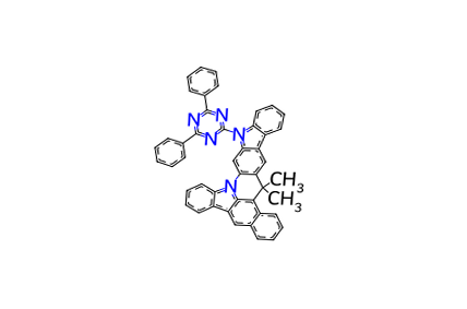 CC1(C)c2cc3c4ccccc4n(-c4nc(-c5ccccc5)nc(-c5ccccc5)n4)c3cc2-n2c3ccccc3c3cc4ccccc4c1c32